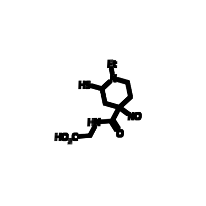 CCN1CCC(N=O)(C(=O)NCC(=O)O)CC1S